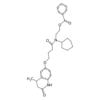 CC1CC(=O)Nc2ccc(OCCCC(=O)N(CCOC(=O)c3ccccc3)C3CCCCC3)cc21